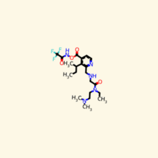 CCC(C)c1c(C(=O)ONC(=O)C(F)(F)F)ccnc1CNCC(=O)N(CC)CCN(C)C